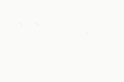 CCCN(C(=O)OC(C)(C)C)C(=O)c1ccc(-c2csc(N(C)C)n2)cc1